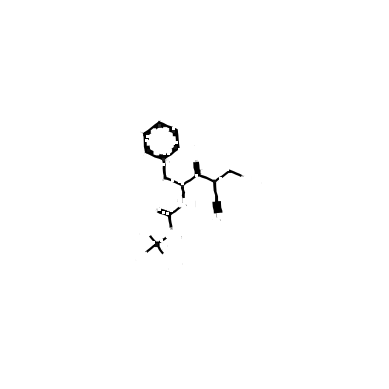 CCC(C#N)C(=O)C(Cc1ccccc1)NC(=O)OC(C)(C)C